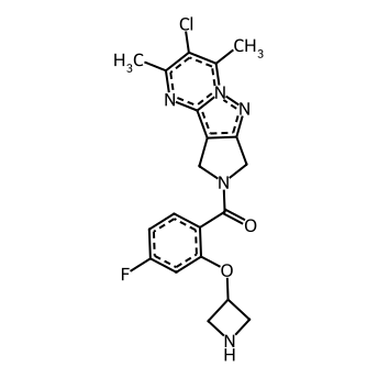 Cc1nc2c3c(nn2c(C)c1Cl)CN(C(=O)c1ccc(F)cc1OC1CNC1)C3